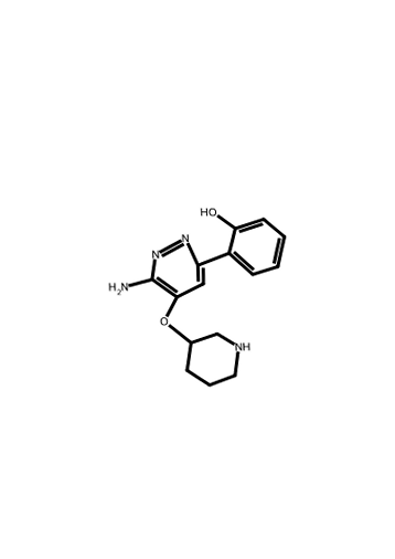 Nc1nnc(-c2ccccc2O)cc1OC1CCCNC1